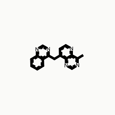 Cc1ncnc2c(Cc3ncnc4ccccc34)ccnc12